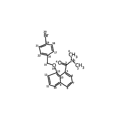 CN(C)C(=O)c1cccc2cccc(OCc3ccc(Br)cc3)c12